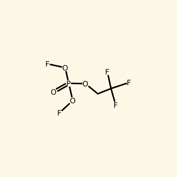 O=P(OF)(OF)OCC(F)(F)F